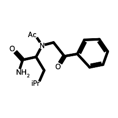 CC(=O)N(CC(=O)c1ccccc1)C(CC(C)C)C(N)=O